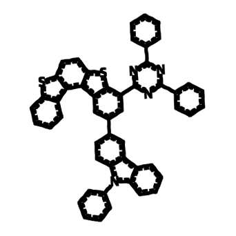 c1ccc(-c2nc(-c3ccccc3)nc(-c3cc(-c4ccc5c(c4)c4ccccc4n5-c4ccccc4)cc4c3sc3ccc5sc6ccccc6c5c34)n2)cc1